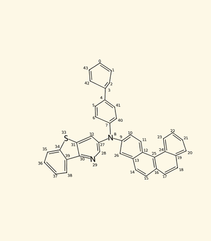 c1ccc(-c2ccc(N(c3ccc4c(ccc5ccc6ccccc6c54)c3)c3cnc4c(c3)sc3ccccc34)cc2)cc1